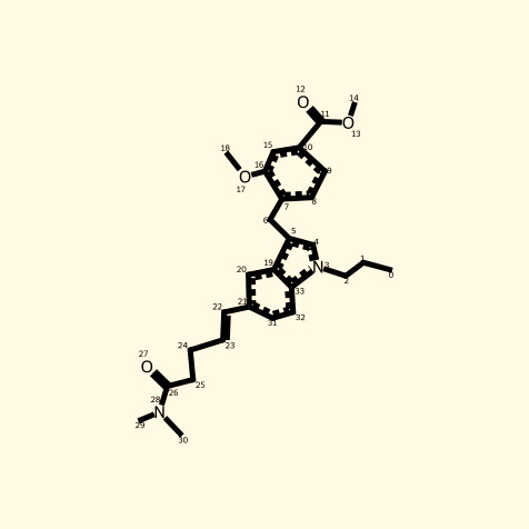 CCCn1cc(Cc2ccc(C(=O)OC)cc2OC)c2cc(/C=C/CCC(=O)N(C)C)ccc21